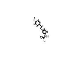 COc1ccc(CSc2nnc(NC(C)=O)s2)cc1